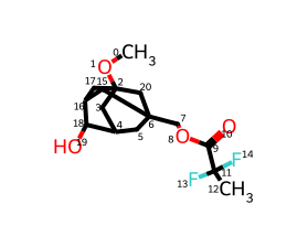 COC12CC3CC(COC(=O)C(C)(F)F)(CC(C1)C3O)C2